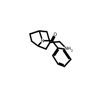 NCC1CC2CCC(C1)N2C(=O)c1ccccc1